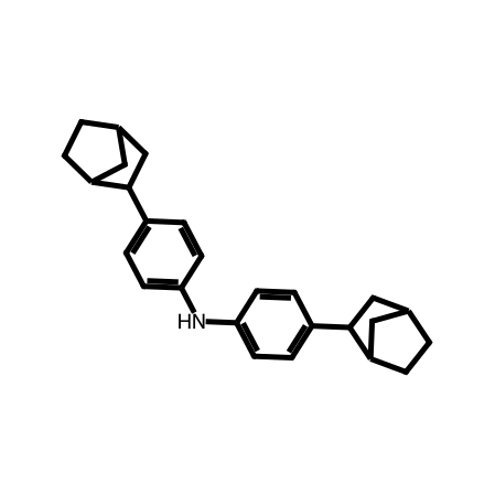 c1cc(C2CC3CCC2C3)ccc1Nc1ccc(C2CC3CCC2C3)cc1